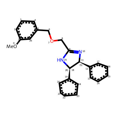 COc1cccc(COCC2=N[C@@H](c3ccccc3)[C@@H](c3ccccc3)N2)c1